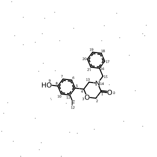 O=C1COC(c2ccc(O)cc2F)CN1Cc1ccccc1